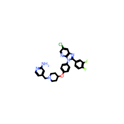 Nc1cc(CN2CCC(Oc3ccc(-n4c(-c5ccc(F)c(F)c5)nc5cc(Cl)cnc54)cc3)CC2)ccn1